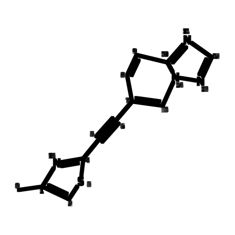 Cc1csc(C#Cc2ccc3ncnn3c2)n1